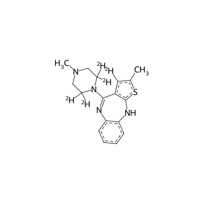 [2H]c1c(C)sc2c1C(N1C([2H])([2H])CN(C)CC1([2H])[2H])=Nc1ccccc1N2